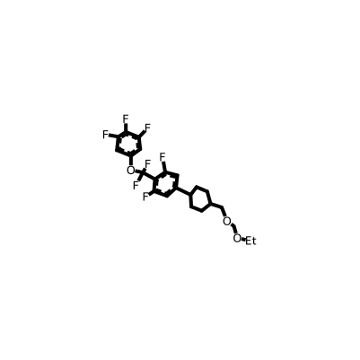 CCOCOCC1CCC(c2cc(F)c(C(F)(F)Oc3cc(F)c(F)c(F)c3)c(F)c2)CC1